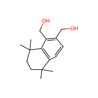 CC1(C)CCC(C)(C)c2c1ccc(CO)c2CO